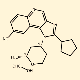 C[C@@H]1C[C@H](n2c(C3CCCC3)nc3cnc4ccc(C#N)cc4c32)CCO1.O=CO